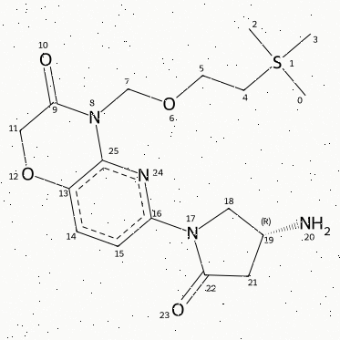 CS(C)(C)CCOCN1C(=O)COc2ccc(N3C[C@H](N)CC3=O)nc21